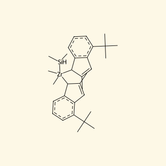 CC1=Cc2c(cccc2C(C)(C)C)[CH]1[Zr]([CH3])([CH3])([CH]1C(C)=Cc2c1cccc2C(C)(C)C)[SiH](C)C